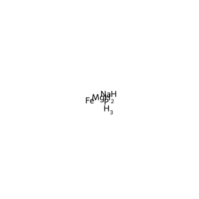 P.[Fe].[MgH2].[NaH]